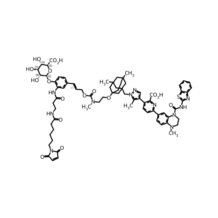 Cc1c(-c2ccc(-c3ccc4c(c3)N(C(=O)Nc3nc5ccccc5s3)CCN4C)nc2C(=O)O)cnn1CC12CC3(C)CC(C)(C1)CC(OCCN(C)C(=O)OC/C=C/c1ccc(O[C@@H]4O[C@H](C(=O)O)[C@@H](O)[C@H](O)[C@H]4O)c(NC(=O)CCNC(=O)CCCCCN4C(=O)C=CC4=O)c1)(C3)C2